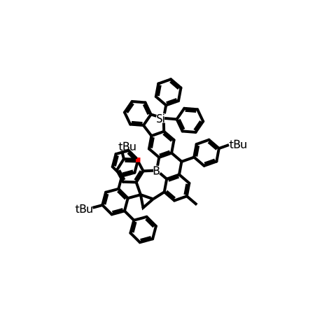 Cc1cc2c3c(c1)C1CC1(c1c(-c4ccccc4)cc(C(C)(C)C)cc1-c1ccccc1)c1ccc(C(C)(C)C)cc1B3c1cc3c(cc1C2c1ccc(C(C)(C)C)cc1)[Si](c1ccccc1)(c1ccccc1)c1ccccc1-3